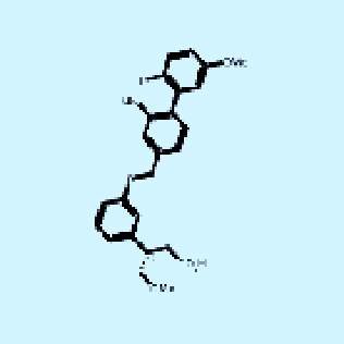 COC[C@@H](CC(=O)O)c1cccc(OCc2ccc(-c3cc(OC)ccc3F)c(C(C)(C)C)c2)c1